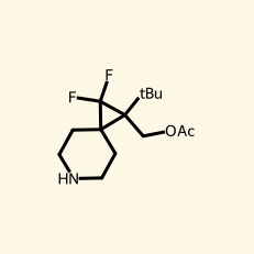 CC(=O)OCC1(C(C)(C)C)C(F)(F)C12CCNCC2